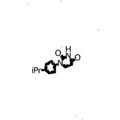 CC(C)c1ccc(-n2ccc(=O)[nH]c2=O)cc1